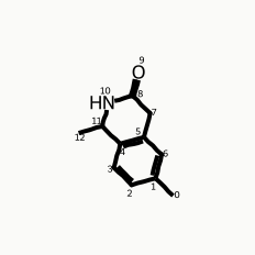 Cc1ccc2c(c1)CC(=O)NC2C